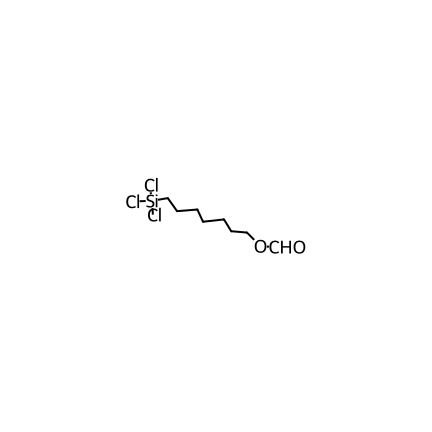 O=COCCCCCCC[Si](Cl)(Cl)Cl